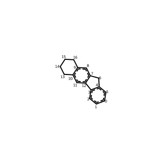 c1ccc2c(c1)Cc1cc3c(cc1-2)CCCC3